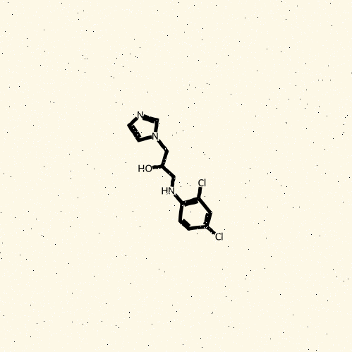 OC(CNc1ccc(Cl)cc1Cl)Cn1ccnc1